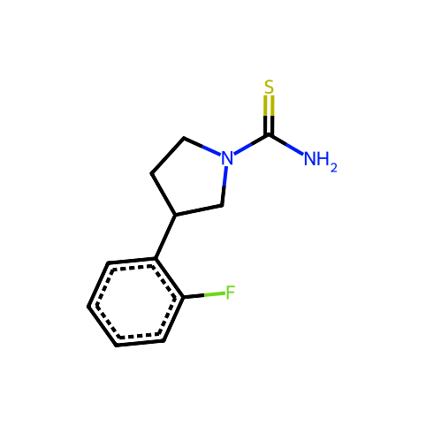 NC(=S)N1CCC(c2ccccc2F)C1